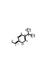 C/C=C1\C=CC(C(CC)CC)=CC1